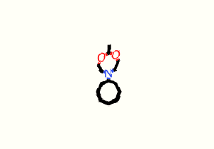 CC1OCCN(C2CCCCCCC2)CCO1